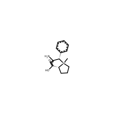 C[N+]1([C@H](C(N)=O)c2ccccc2)CCC[C@@H]1C(=O)O